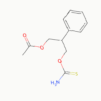 CC(=O)OCC(COC(N)=S)c1ccccc1